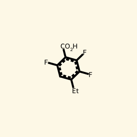 CCc1cc(F)c(C(=O)O)c(F)c1F